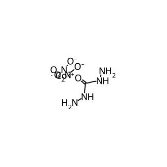 NNC(=O)NN.O=[N+]([O-])[O-].O=[N+]([O-])[O-].[Co+2]